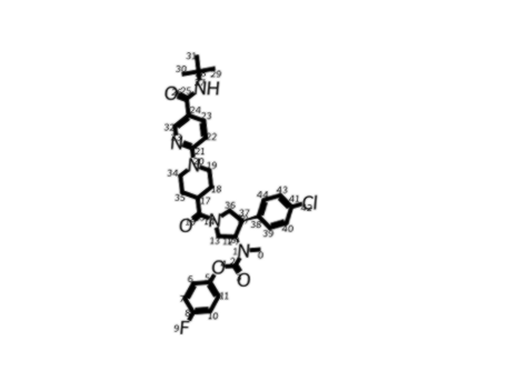 CN(C(=O)Oc1ccc(F)cc1)[C@@H]1CN(C(=O)C2CCN(c3ccc(C(=O)NC(C)(C)C)cn3)CC2)C[C@H]1c1ccc(Cl)cc1